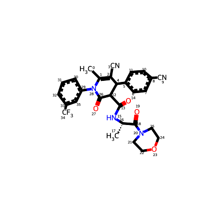 CC1=C(C#N)C(c2ccc(C#N)cc2)C(C(=O)N[C@@H](C)C(=O)N2CCOCC2)C(=O)N1c1cccc(C(F)(F)F)c1